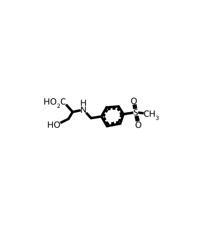 CS(=O)(=O)c1ccc(CNC(CO)C(=O)O)cc1